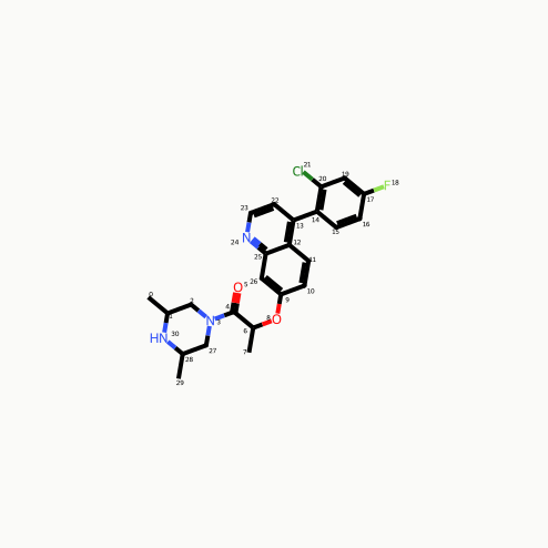 CC1CN(C(=O)C(C)Oc2ccc3c(-c4ccc(F)cc4Cl)ccnc3c2)CC(C)N1